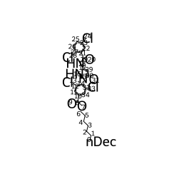 CCCCCCCCCCCCCCCCOC(=O)c1cc(Cl)c(-n2[nH]c(NC(=O)c3cc(Cl)ccc3Cl)cc2=O)c(Cl)c1